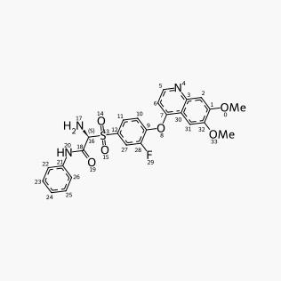 COc1cc2nccc(Oc3ccc(S(=O)(=O)[C@H](N)C(=O)Nc4ccccc4)cc3F)c2cc1OC